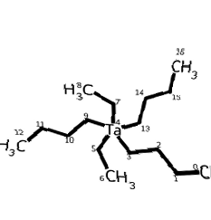 CCC[CH2][Ta]([CH2]C)([CH2]C)([CH2]CCC)[CH2]CCC